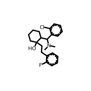 CN(C)C(c1ccccc1Cl)C1CCCCC1(O)CCc1ccccc1F